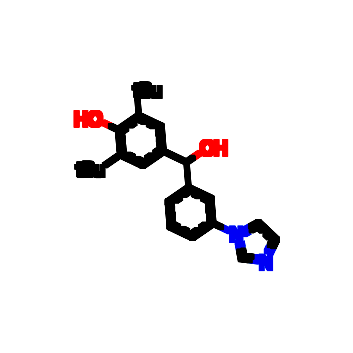 CC(C)(C)c1cc(C(O)c2cccc(-n3ccnc3)c2)cc(C(C)(C)C)c1O